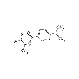 C=C(C)c1ccc(C(=O)OC(C(F)F)C(F)(F)F)cc1